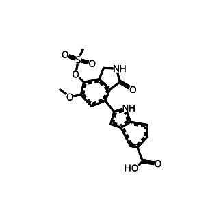 COc1cc(-c2cc3cc(C(=O)O)ccc3[nH]2)c2c(c1OS(C)(=O)=O)CNC2=O